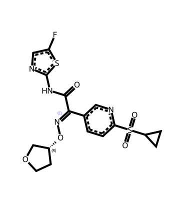 O=C(Nc1ncc(F)s1)/C(=N/O[C@@H]1CCOC1)c1ccc(S(=O)(=O)C2CC2)nc1